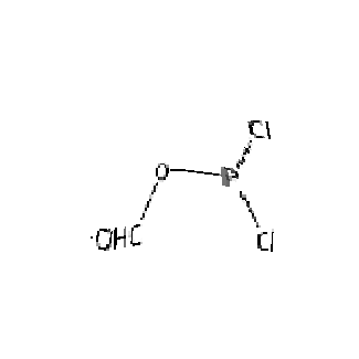 O=[C]OP(Cl)Cl